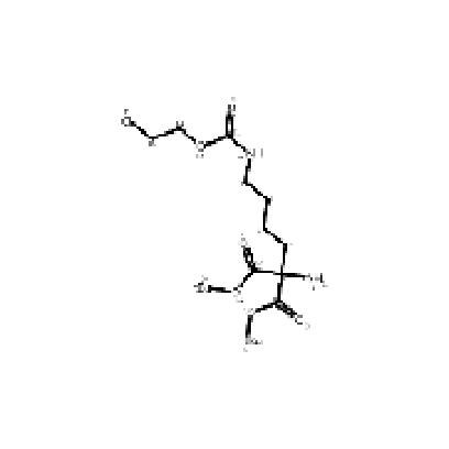 CC(C)(C)OC(=O)C(N)(CCCCNC(=O)OCCCl)C(=O)OC(C)(C)C